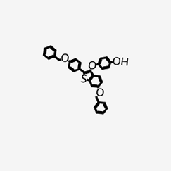 Oc1ccc(Oc2c(-c3ccc(OCc4ccccc4)cc3)sc3cc(OCc4ccccc4)ccc23)cc1